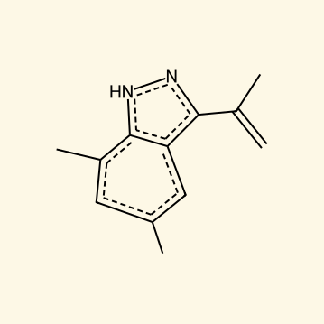 C=C(C)c1n[nH]c2c(C)cc(C)cc12